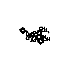 CC(=O)N1c2cccc(O)c2NC2=C(C(=O)CC(C)(C)C2)[C@H]1c1ccc(OCc2ccccc2)c(Cl)c1